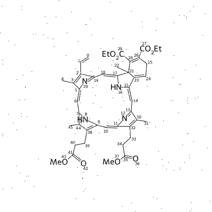 C=CC1=C(C)c2cc3[nH]c(cc4nc(cc5[nH]c(cc1n2)C1(C)C5=CCC(C(=O)OCC)=C1C(=O)OCC)C(C)=C4CCC(=O)OC)c(CCC(=O)OC)c3C